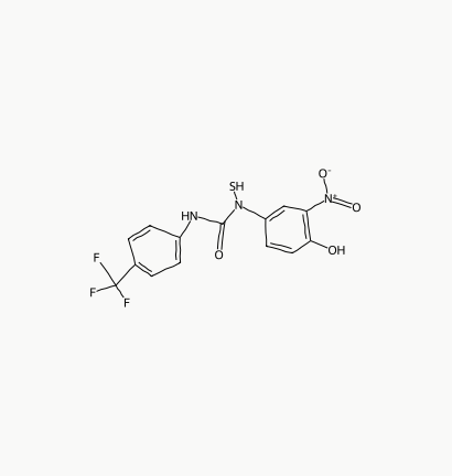 O=C(Nc1ccc(C(F)(F)F)cc1)N(S)c1ccc(O)c([N+](=O)[O-])c1